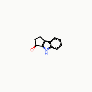 O=C1CCc2c1[nH]c1ccccc21